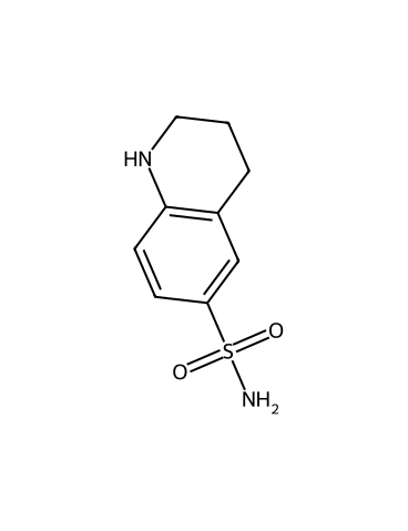 NS(=O)(=O)c1ccc2c(c1)CCCN2